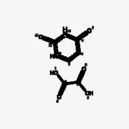 O=C(O)C(=O)O.O=c1cc[nH]c(=O)[nH]1